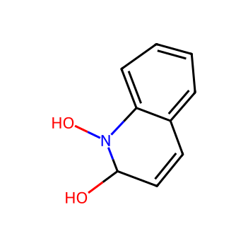 OC1C=Cc2ccccc2N1O